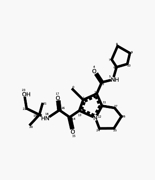 Cc1c(C(=O)NC2CCCC2)c2n(c1C(=O)C(=O)NC(C)(C)CO)CCCC2